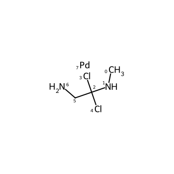 CNC(Cl)(Cl)CN.[Pd]